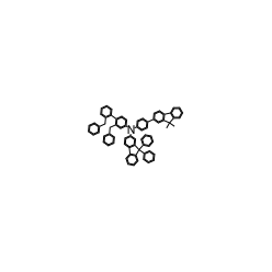 CC1(C)c2ccccc2-c2ccc(-c3ccc(N(c4ccc(-c5ccccc5Cc5ccccc5)c(Cc5ccccc5)c4)c4ccc5c(c4)C(c4ccccc4)(c4ccccc4)c4ccccc4-5)cc3)cc21